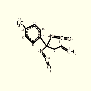 C=CCC(N=C=O)(N=C=O)c1ccc(C)cc1